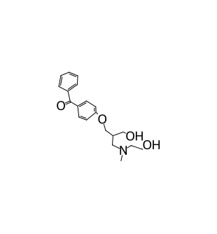 CN(CCO)CC(CO)COc1ccc(C(=O)c2ccccc2)cc1